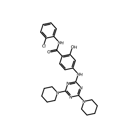 O=C(Nc1ccccc1Cl)c1ccc(Nc2nc(N3CCCCC3)nc(N3CCCCC3)n2)cc1O